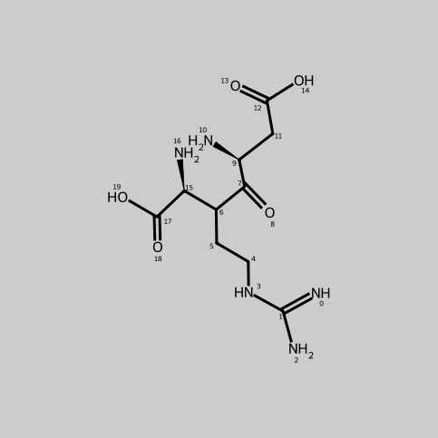 N=C(N)NCCC(C(=O)[C@@H](N)CC(=O)O)[C@H](N)C(=O)O